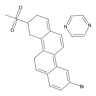 CS(=O)(=O)C1CC=c2ccc3c(c2C1)CC=c1ccc(Br)cc1=3.c1cnccn1